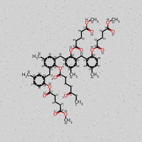 CCC(=O)CCCC(=O)Oc1c(Cc2cc(C)ccc2OC(=O)CCCC(=O)OC)cc(C)cc1Cc1cc(C)cc(Cc2cc(C)ccc2OC(=O)CCCC(=O)OC)c1OC(=O)CCCC(=O)OC